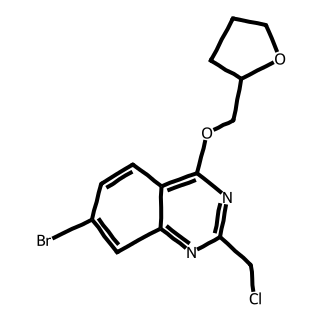 ClCc1nc(OCC2CCCO2)c2ccc(Br)cc2n1